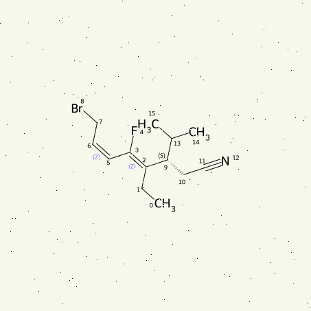 CC/C(=C(F)\C=C/CBr)[C@@H](CC#N)C(C)C